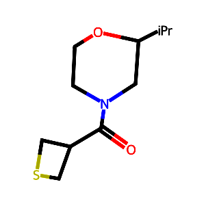 CC(C)C1CN(C(=O)C2CSC2)CCO1